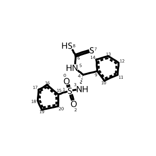 O=S(=O)(N[C@H](NC(=S)S)c1ccccc1)c1ccccc1